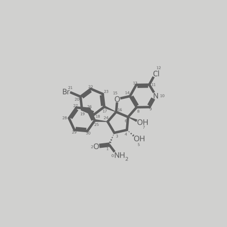 NC(=O)[C@H]1[C@@H](O)[C@@]2(O)c3cnc(Cl)cc3O[C@@]2(c2ccc(Br)cc2)[C@@H]1c1ccccc1